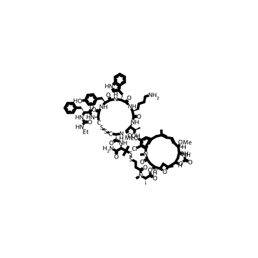 CCNC(=O)N[C@H](Cc1ccccc1)C(=O)N[C@H]1CSSC[C@@H](C(=O)N[C@H](C(N)=O)C(C)(C)SSCCC(=O)N(C)[C@@H](C)C(=O)O[C@H]2CC(=O)N(C)c3cc(cc(OC)c3Cl)C/C(C)=C/C=C/[C@@H](OC)[C@@]3(O)C[C@H](OC(=O)N3)C3(C)C[C@@]2(C)O3)NC(=O)[C@H]([C@@H](C)O)NC(=O)[C@H](CCCCN)NC(=O)[C@@H](Cc2c[nH]c3ccccc23)NC(=O)[C@H](Cc2ccc(O)cc2)NC1=O